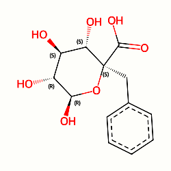 O=C(O)[C@@]1(Cc2ccccc2)O[C@@H](O)[C@H](O)[C@@H](O)[C@@H]1O